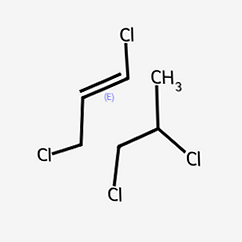 CC(Cl)CCl.Cl/C=C/CCl